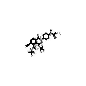 C#Cc1ccc(C(=O)NC2CCC(NC(=N)N)CC2)c(C(=O)OC(C)(C)C)c1C(=O)OC(C)(C)C